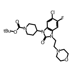 CC(C)(C)OC(=O)N1CCC(n2c(=O)n(CCN3CCOCC3)c3cc(F)c(Cl)cc32)CC1